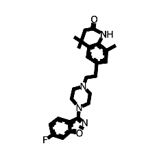 Cc1cc(CCN2CCN(c3noc4cc(F)ccc34)CC2)cc2c1NC(=O)CC2(C)C